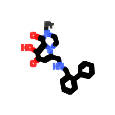 CC(C)N1CCn2c(CNCc3ccccc3-c3ccccc3)cc(=O)c(O)c2C1=O